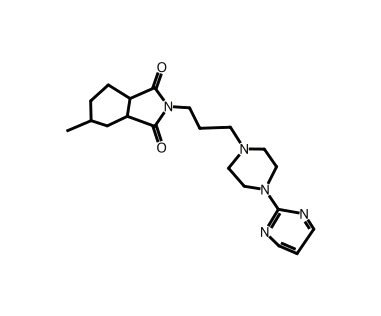 CC1CCC2C(=O)N(CCCN3CCN(c4ncccn4)CC3)C(=O)C2C1